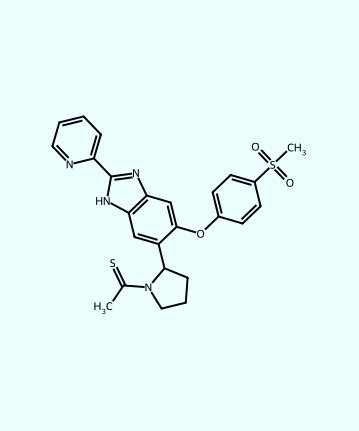 CC(=S)N1CCCC1c1cc2[nH]c(-c3ccccn3)nc2cc1Oc1ccc(S(C)(=O)=O)cc1